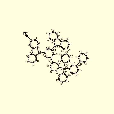 N#Cc1ccc2c(c1)c1ccccc1n2-c1nc(-c2cccc([Si](c3ccccc3)(c3ccccc3)c3cccc(-c4ccccc4)c3)c2)cc(-n2c3ccccc3c3ccccc32)n1